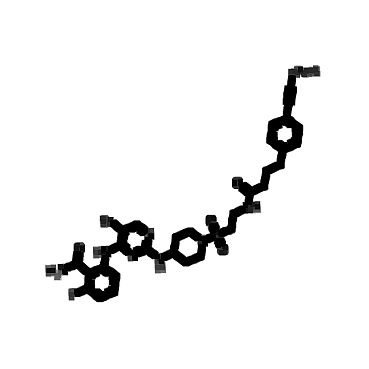 CCCCCC#Cc1ccc(CCCC(=O)NCCS(=O)(=O)N2CCC(Nc3ncc(Br)c(Nc4cccc(F)c4C(N)=O)n3)CC2)cc1